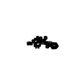 CC(C)C[C@H]1C(C(=O)NNC(=O)c2ccccc2)OC(C)(C)N1C(=O)OC(C)(C)C